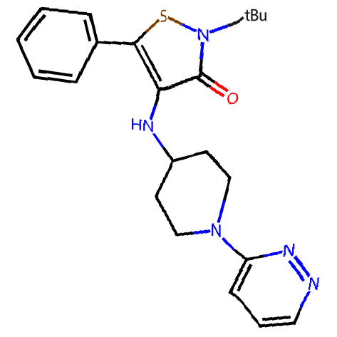 CC(C)(C)n1sc(-c2ccccc2)c(NC2CCN(c3cccnn3)CC2)c1=O